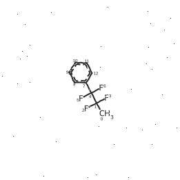 CC(F)(F)C(F)(F)c1c[c]ccc1